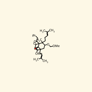 COCOC1CC2(CC=C(C)C)C(=O)C(C(=O)CC(C)C)(C(=O)C=C2OC)C1(C)CCC=C(C)C